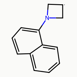 [CH]1CN(c2cccc3ccccc23)C1